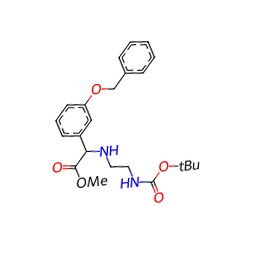 COC(=O)C(NCCNC(=O)OC(C)(C)C)c1cccc(OCc2ccccc2)c1